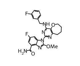 COc1nc2c(C(N)=O)cc(F)cc2n1-c1nc2c(c(NCc3cccc(F)c3)n1)OCCCC2